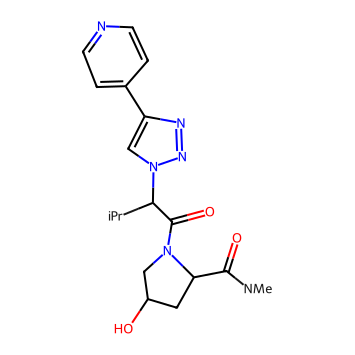 CNC(=O)C1CC(O)CN1C(=O)C(C(C)C)n1cc(-c2ccncc2)nn1